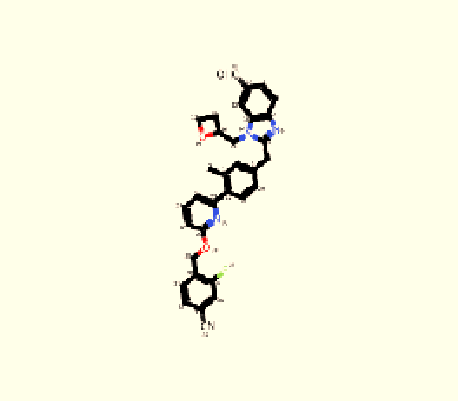 Cc1cc(Cc2nc3ccc(C=O)cc3n2CC2CCO2)ccc1-c1cccc(OCc2ccc(C#N)cc2F)n1